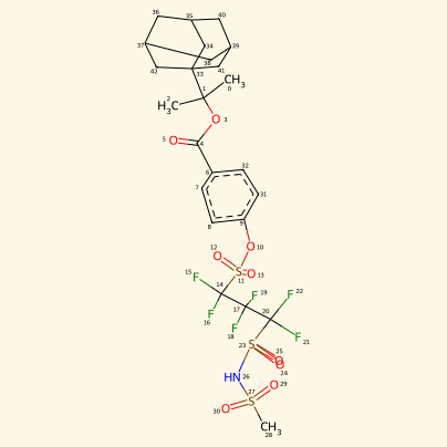 CC(C)(OC(=O)c1ccc(OS(=O)(=O)C(F)(F)C(F)(F)C(F)(F)S(=O)(=O)NS(C)(=O)=O)cc1)C12CC3CC(CC(C3)C1)C2